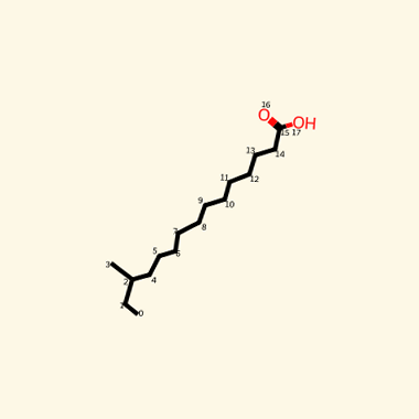 CCC(C)CCCCCCCCCCCC(=O)O